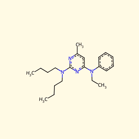 CCCCN(CCCC)c1nc(C)cc(N(CC)c2ccccc2)n1